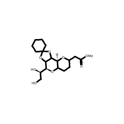 COC(=O)CC1CCC2O[C@@H]([C@H](O)CO)C3OC4(CCCCC4)OC3[C@H]2O1